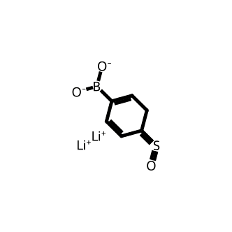 O=S=C1C=CC(B([O-])[O-])=CC1.[Li+].[Li+]